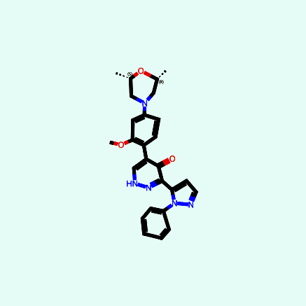 COc1cc(N2C[C@@H](C)O[C@@H](C)C2)ccc1-c1c[nH]nc(-c2ccnn2-c2ccccc2)c1=O